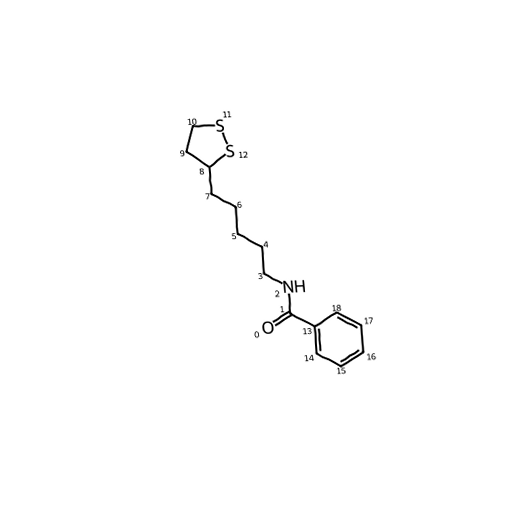 O=C(NCCCCCC1CCSS1)c1ccccc1